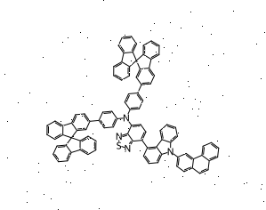 c1ccc2c(c1)-c1ccccc1C21c2ccccc2-c2ccc(-c3ccc(N(c4ccc(-c5ccc6c(c5)C5(c7ccccc7-c7ccccc75)c5ccccc5-6)cc4)c4ccc(-c5cccc6c5c5ccccc5n6-c5ccc6ccc7ccccc7c6c5)c5nsnc45)cc3)cc21